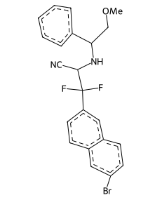 COCC(NC(C#N)C(F)(F)c1ccc2cc(Br)ccc2c1)c1ccccc1